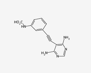 Nc1ncnc(N)c1C#Cc1cccc(NC(=O)O)c1